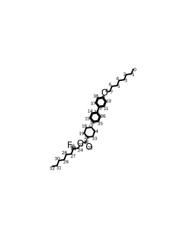 CCCCCCCCOc1ccc(-c2ccc([C@H]3CC[C@H](C(=O)OC[C@@H](F)CCCCCC)CC3)cc2)cc1